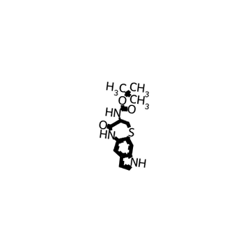 CC(C)(C)OC(=O)N[C@H]1CSc2cc3[nH]ccc3cc2NC1=O